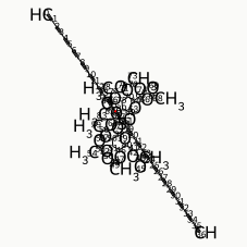 C#CC#CC#CC#CC#CC#CC#CC#CC#C[Si](C#CC#CC#CC#CC#CC#CC#CC#CC#C)(OC1OC(COC(C)=O)C(OC(C)=O)C(OC(C)=O)C1OC(C)=O)OC1OC(COC(C)=O)C(OC(C)=O)C(OC(C)=O)C1OC(C)=O